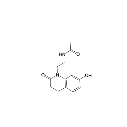 CC(=O)NCCN1C(=O)CCc2ccc(O)cc21